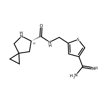 N=C(N)c1csc(CNC(=O)[C@@H]2CC3(CC3)CN2)c1